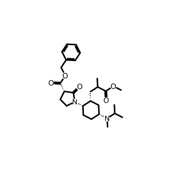 COC(=O)C(C)C[C@@H]1C[C@H](N(C)C(C)C)CC[C@@H]1N1CC[C@H](C(=O)OCc2ccccc2)C1=O